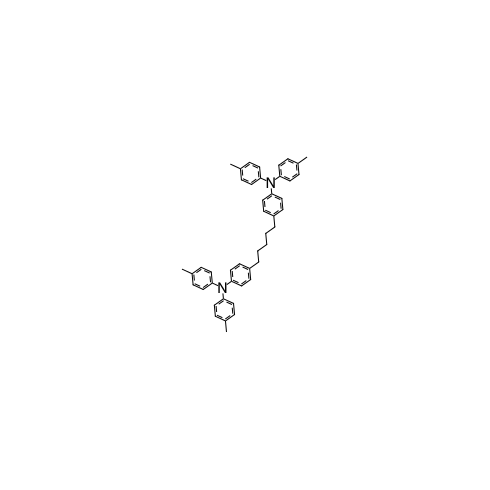 Cc1ccc(N(c2ccc(C)cc2)c2ccc(CCCCCc3ccc(N(c4ccc(C)cc4)c4ccc(C)cc4)cc3)cc2)cc1